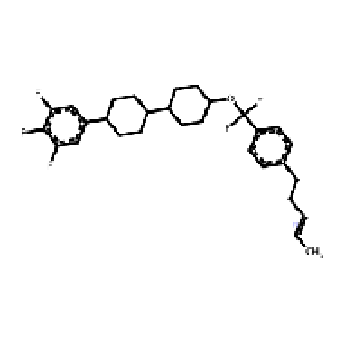 C/C=C/CCc1ccc(C(F)(F)OC2CCC(C3CCC(c4cc(F)c(F)c(F)c4)CC3)CC2)cc1